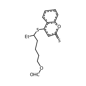 CCC(CCCCOC=O)Sc1cc(=S)oc2ccccc12